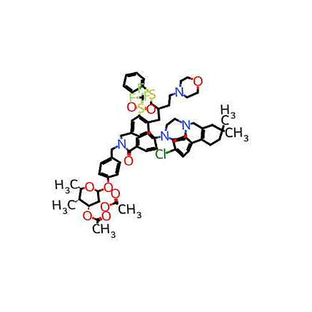 CC(=O)O[C@@H]1[C@H](C)[C@H](C)OC(Oc2ccc(CN(Cc3ccc(CC(CCN4CCOCC4)CSc4ccccc4)c(S(=O)(=O)C(F)(F)F)c3)C(=O)c3ccc(N4CCN(CC5=C(c6ccc(Cl)cc6)CCC(C)(C)C5)CC4)cc3)cc2)[C@H]1OC(C)=O